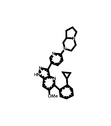 COc1cc2[nH]nc(-c3ccc(N4CCN5CCCC5C4)nc3)c2nc1-c1ccccc1C1CC1